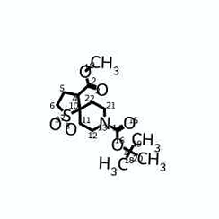 COC(=O)C1CCS(=O)(=O)C12CCN(C(=O)OC(C)(C)C)CC2